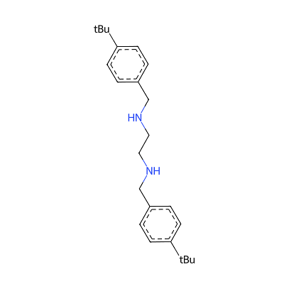 CC(C)(C)c1ccc(CNCCNCc2ccc(C(C)(C)C)cc2)cc1